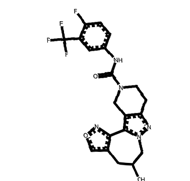 CC1Cc2conc2-c2c3c(nn2C1)CCN(C(=O)Nc1ccc(F)c(C(F)(F)F)c1)C3